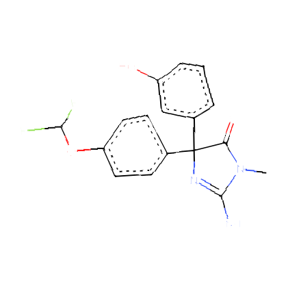 CN1C(=O)C(c2ccc(OC(F)F)cc2)(c2cccc(O)c2)N=C1N